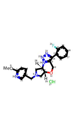 COc1ccc(CN2C[C@@H]3[C@@H](C2)OCc2c(-c4ccccc4F)nnn23)cn1.Cl